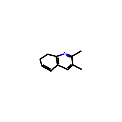 Cc1cc2c(nc1C)CCC=C2